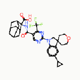 O=C(NC1(C(=O)O)C2CC3CC(C2)CC1C3)c1cnc(N2CC3(CCOCC3)c3cc(C4CC4)ccc32)nc1C(F)(F)F